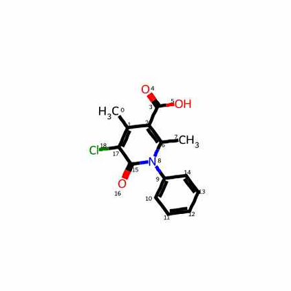 Cc1c(C(=O)O)c(C)n(-c2ccccc2)c(=O)c1Cl